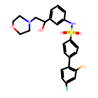 O=S(=O)(Nc1cccc(C(O)CN2CCOCC2)c1)c1ccc(-c2ccc(F)cc2P)cc1